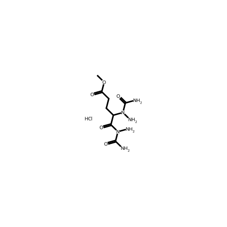 COC(=O)CCC(C(=O)N(N)C(N)=O)N(N)C(N)=O.Cl